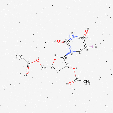 CC(=O)OC[C@H]1C[C@@H](OC(C)=O)[C@H](n2cc(I)c(=O)[nH]c2=O)O1